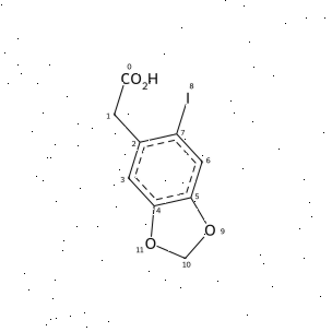 O=C(O)Cc1cc2c(cc1I)OCO2